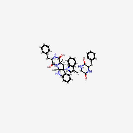 O=C1N[C@H](Cc2ccccc2)C(=O)N[C@H]1Cc1cn([C@]23C[C@H]4C(=O)N[C@H](Cc5ccccc5)C(=O)N4[C@H]2Nc2ccccc23)c2ccccc12